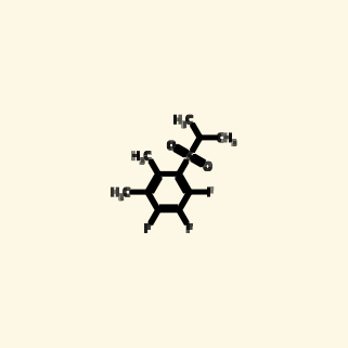 Cc1c(C)c(S(=O)(=O)C(C)C)c(F)c(F)c1F